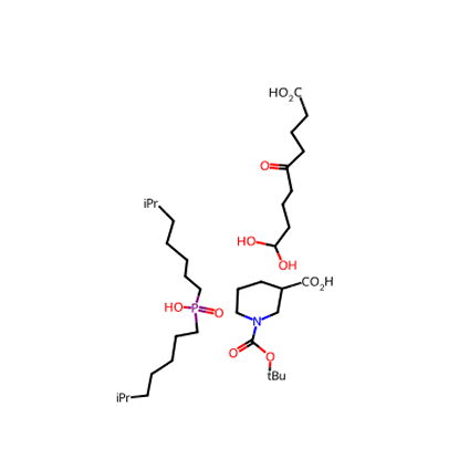 CC(C)(C)OC(=O)N1CCCC(C(=O)O)C1.CC(C)CCCCCP(=O)(O)CCCCCC(C)C.O=C(O)CCCC(=O)CCCC(O)O